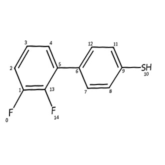 Fc1cccc(-c2ccc(S)cc2)c1F